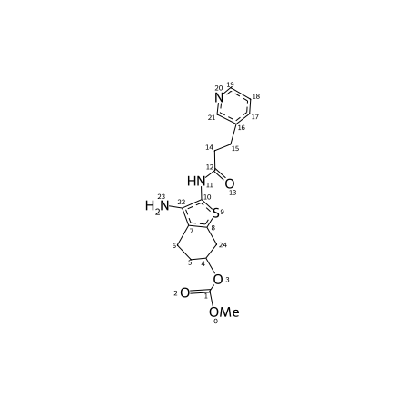 COC(=O)OC1CCc2c(sc(NC(=O)CCc3cccnc3)c2N)C1